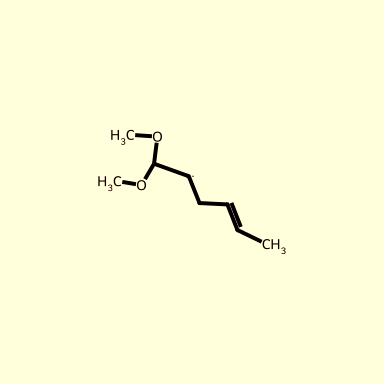 CC=CC[CH]C(OC)OC